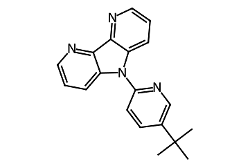 CC(C)(C)c1ccc(-n2c3cccnc3c3ncccc32)nc1